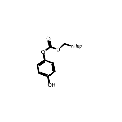 CCCCCCCCOC(=O)Oc1ccc(O)cc1